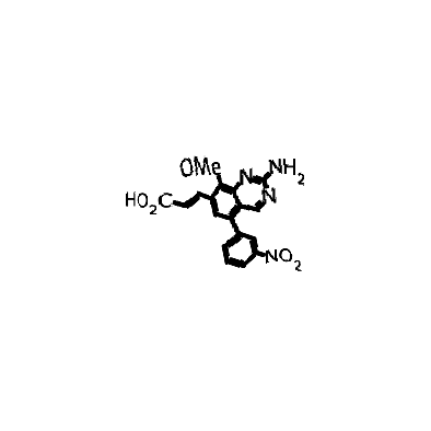 COc1c(C=CC(=O)O)cc(-c2cccc([N+](=O)[O-])c2)c2cnc(N)nc12